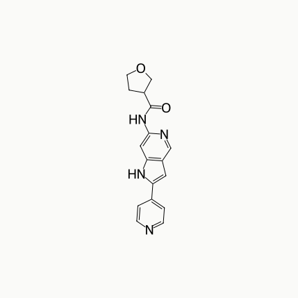 O=C(Nc1cc2[nH]c(-c3ccncc3)cc2cn1)C1CCOC1